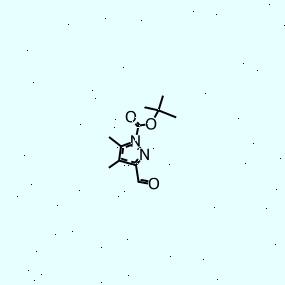 Cc1c(C=O)nn(C(=O)OC(C)(C)C)c1C